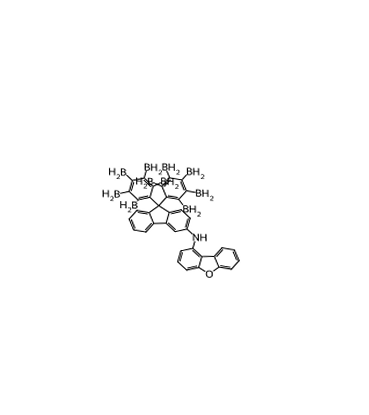 Bc1c(B)c(B)c(C2(c3c(B)c(B)c(B)c(B)c3B)c3ccccc3-c3cc(Nc4cccc5oc6ccccc6c45)ccc32)c(B)c1B